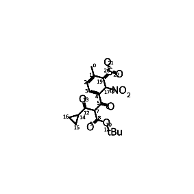 CC1=CC=C(C(=O)C(C(=O)OC(C)(C)C)C(=O)C2CC2)C([N+](=O)[O-])C1=S(=O)=O